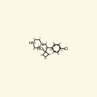 OC1(C(CN2CCNCC2)c2ccc(Cl)cc2)CCC1